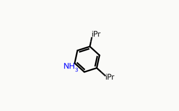 CC(C)c1cccc(C(C)C)c1.N